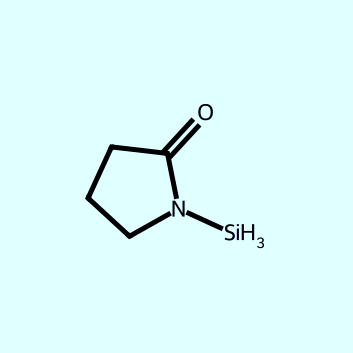 O=C1CCCN1[SiH3]